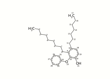 CCCCCCCCCc1c(CCCCCCC)ccc(O)c1Oc1ccccc1